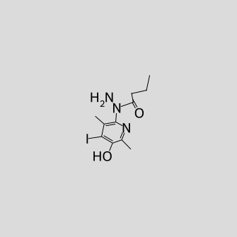 CCCC(=O)N(N)c1nc(C)c(O)c(I)c1C